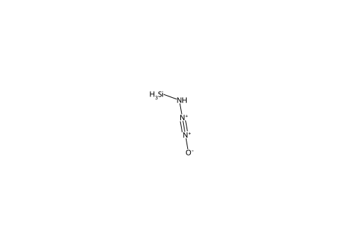 [O-][N+]#[N+]N[SiH3]